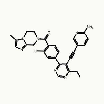 CCc1ncnc(-c2ccc(C(=O)N3CCn4c(C)cnc4C3)c(Cl)c2)c1C#Cc1ccc(N)nc1